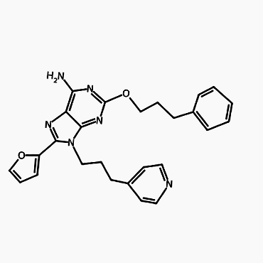 Nc1nc(OCCCc2ccccc2)nc2c1nc(-c1ccco1)n2CCCc1ccncc1